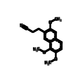 COc1cc2ccc(OC)c(OC)c2cc1CCC#N